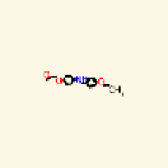 C=CCOc1ccc(CNc2ccc(OCC3CO3)cc2)cc1